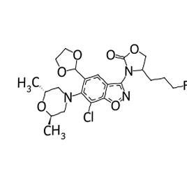 C[C@@H]1CN(c2c(C3OCCO3)cc3c(N4C(=O)OCC4CCCF)noc3c2Cl)C[C@@H](C)O1